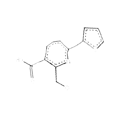 O=C(O)c1ccc(-c2cccs2)nc1CCl